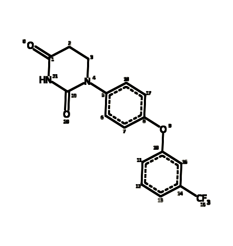 O=C1CCN(c2ccc(Oc3cccc(C(F)(F)F)c3)cc2)C(=O)N1